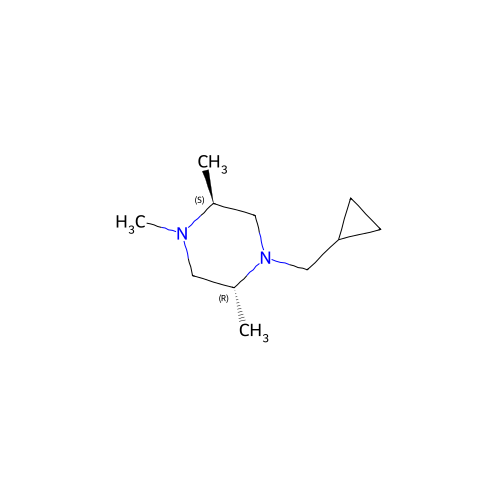 C[C@@H]1CN(C)[C@@H](C)CN1CC1CC1